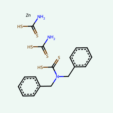 NC(=S)S.NC(=S)S.S=C(S)N(Cc1ccccc1)Cc1ccccc1.[Zn]